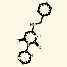 O=c1cc(NCc2ccccc2)[nH]c(=O)n1-c1cnccn1